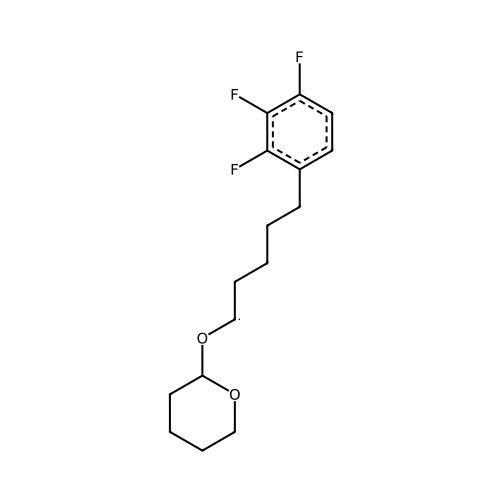 Fc1ccc(CCCC[CH]OC2CCCCO2)c(F)c1F